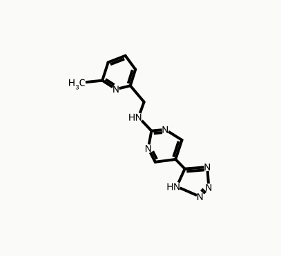 Cc1cccc(CNc2ncc(-c3nnn[nH]3)cn2)n1